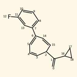 C=C(C1C=CC=C(c2cccc(F)c2)C=C1)C1CC1